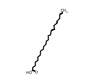 CC=CCC=CCC=CCCCCCCCCCCCCCCC(=O)O